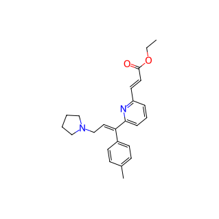 CCOC(=O)C=Cc1cccc(C(=CCN2CCCC2)c2ccc(C)cc2)n1